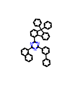 c1ccc(-c2cccc(-c3nc(-c4cccc5c4-c4ccccc4C5(c4ccccc4)c4ccccc4)nc(-c4cccc5ccccc45)n3)c2)cc1